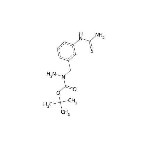 CC(C)(C)OC(=O)N(N)Cc1cccc(NC(N)=S)c1